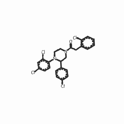 O=C(Cc1ccccc1Cl)N1CCN(c2ccc(Cl)cc2Cl)C(c2ccc(Cl)cc2)C1